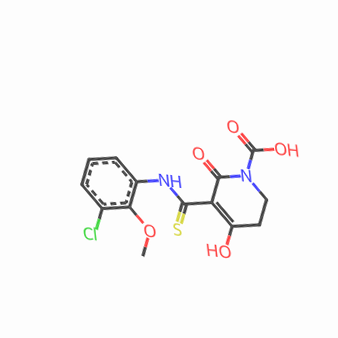 COc1c(Cl)cccc1NC(=S)C1=C(O)CCN(C(=O)O)C1=O